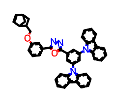 C1=CC2CC1CC2COc1cccc(-c2nnc(-c3cc(-n4c5ccccc5c5ccccc54)cc(-n4c5ccccc5c5ccccc54)c3)o2)c1